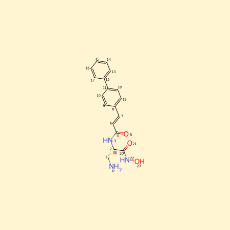 NC[C@H](NC(=O)C=Cc1ccc(-c2ccccc2)cc1)C(=O)NO